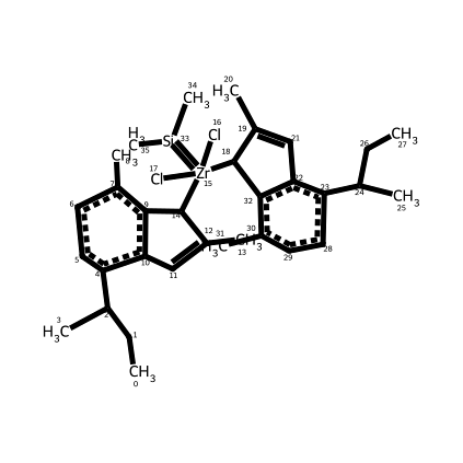 CCC(C)c1ccc(C)c2c1C=C(C)[CH]2[Zr]([Cl])([Cl])([CH]1C(C)=Cc2c(C(C)CC)ccc(C)c21)=[Si](C)C